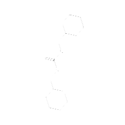 O=C(NOC1CCCCO1)NOC1CCCCO1